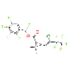 CC1(C)C(C=C(Cl)C(F)(F)C(F)(F)F)C1C(=O)OC(F)c1cc(F)c(F)c(F)c1F